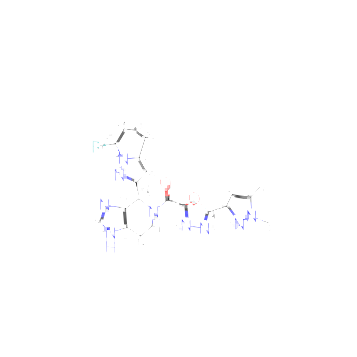 Cc1cc(-c2nnc(C(=O)N3CCc4[nH]cnc4[C@H]3c3cc4cccc(F)n4n3)o2)nn1C